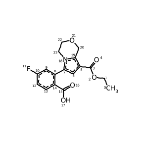 CCOC(=O)c1cc(-c2cc(F)ccc2C(=O)O)n2c1COCC2